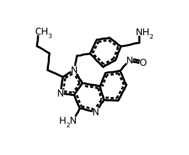 CCCCc1nc2c(N)nc3ccc(N=O)cc3c2n1Cc1ccc(CN)cc1